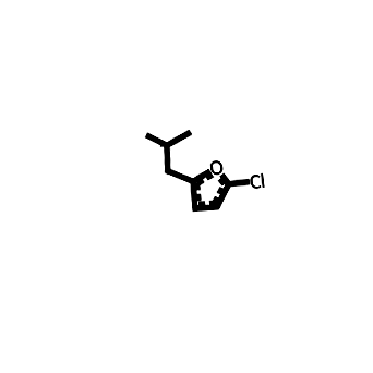 C[C](C)Cc1ccc(Cl)o1